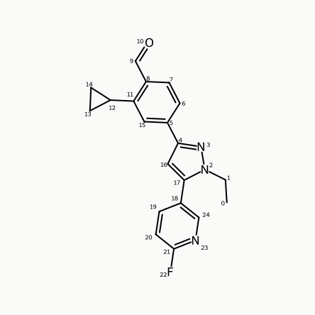 CCn1nc(-c2ccc(C=O)c(C3CC3)c2)cc1-c1ccc(F)nc1